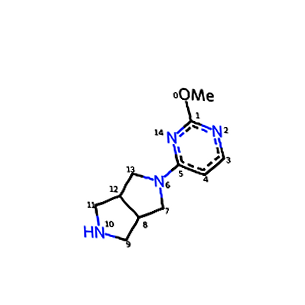 COc1nccc(N2CC3CNCC3C2)n1